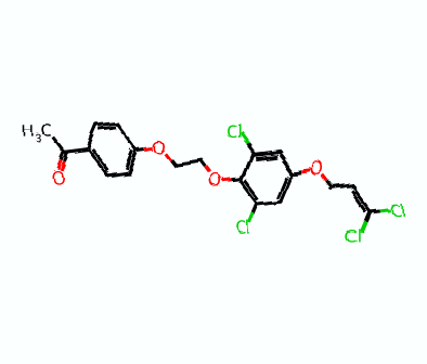 CC(=O)c1ccc(OCCOc2c(Cl)cc(OCC=C(Cl)Cl)cc2Cl)cc1